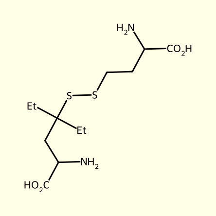 CCC(CC)(CC(N)C(=O)O)SSCCC(N)C(=O)O